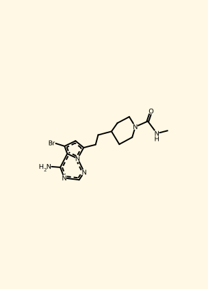 CNC(=O)N1CCC(CCc2cc(Br)c3c(N)ncnn23)CC1